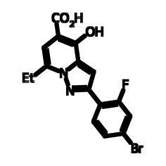 CCc1cc(C(=O)O)c(O)c2cc(-c3ccc(Br)cc3F)nn12